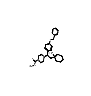 CC(C)(C)OC(=O)N1CCN(C(CC2(O)CCCCC2)c2ccc(OCc3ccccc3)cc2)CC1